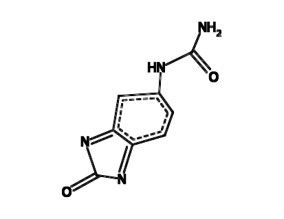 NC(=O)Nc1ccc2c(c1)=NC(=O)N=2